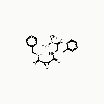 CN(C)C(=O)[C@H](Cc1ccccc1)NC(=O)C1OC1C(=O)NCc1ccccc1